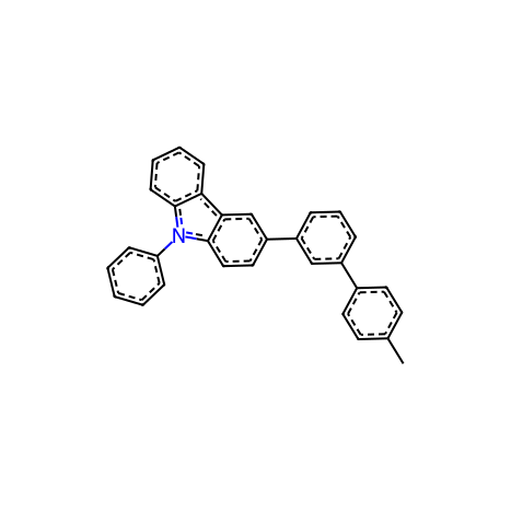 Cc1ccc(-c2cccc(-c3ccc4c(c3)c3ccccc3n4-c3ccccc3)c2)cc1